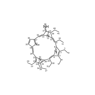 CCC1=C(CC)c2nc1c(CC)c1n(C)c(cc3nc(cc4c(CC)c(CC)c(c2CC)n4CC)C=C3)C(=N)C1CC